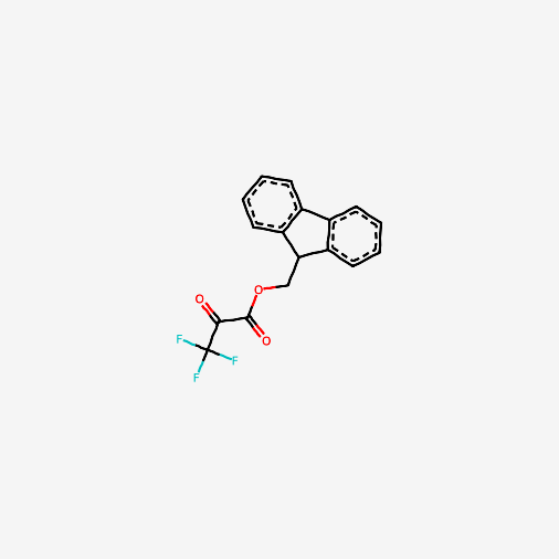 O=C(OCC1c2ccccc2-c2ccccc21)C(=O)C(F)(F)F